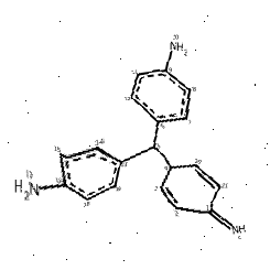 N=C1C=CC(C(c2ccc(N)cc2)c2ccc(N)cc2)C=C1